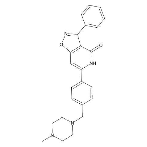 CN1CCN(Cc2ccc(-c3cc4onc(-c5ccccc5)c4c(=O)[nH]3)cc2)CC1